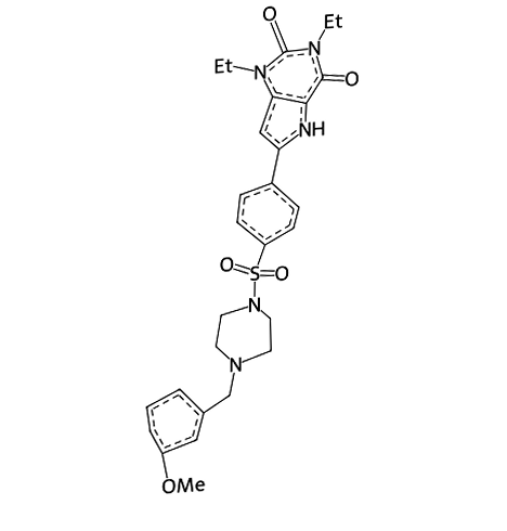 CCn1c(=O)c2[nH]c(-c3ccc(S(=O)(=O)N4CCN(Cc5cccc(OC)c5)CC4)cc3)cc2n(CC)c1=O